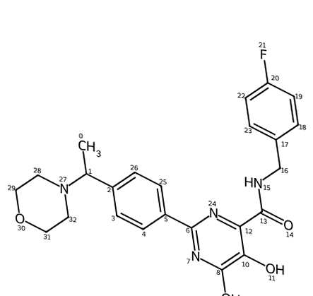 CC(c1ccc(-c2nc(O)c(O)c(C(=O)NCc3ccc(F)cc3)n2)cc1)N1CCOCC1